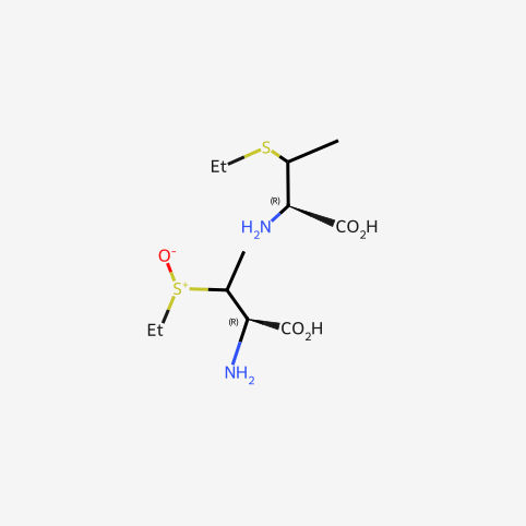 CCSC(C)[C@H](N)C(=O)O.CC[S+]([O-])C(C)[C@H](N)C(=O)O